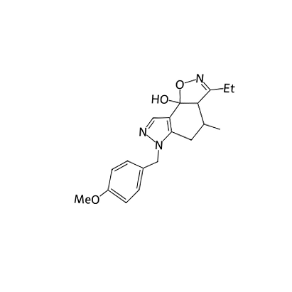 CCC1=NOC2(O)c3cnn(Cc4ccc(OC)cc4)c3CC(C)C12